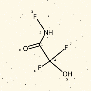 O=C(NF)C(O)(F)F